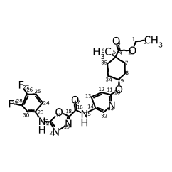 CCOC(=O)[C@]1(C)CC[C@@H](Oc2ccc(NC(=O)c3nnc(Nc4ccc(F)c(F)c4)o3)cn2)CC1